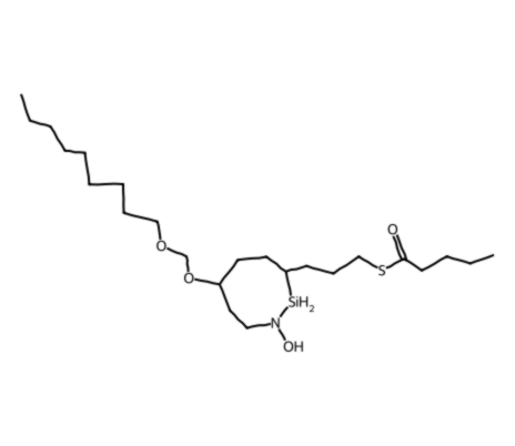 CCCCCCCCCOCOC1CCC(CCCSC(=O)CCCC)[SiH2]N(O)CC1